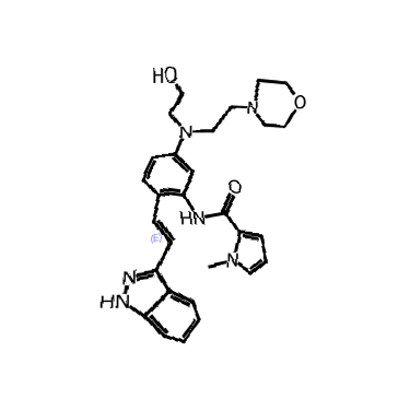 Cn1cccc1C(=O)Nc1cc(N(CCO)CCN2CCOCC2)ccc1/C=C/c1n[nH]c2ccccc12